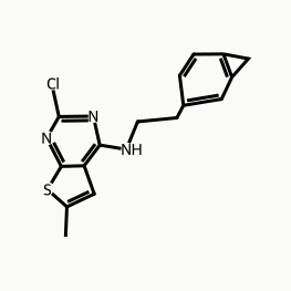 Cc1cc2c(NCCc3ccc4c(c3)C4)nc(Cl)nc2s1